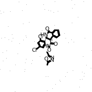 Cc1nnc(CONC(=O)[C@@H]2c3ccccc3C(=O)N[C@H]2c2ccc(Cl)cc2Cl)o1